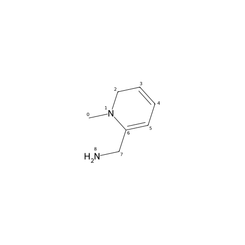 CN1CC=CC=C1CN